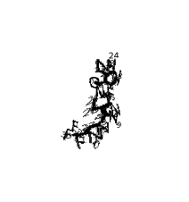 Cn1nc(-c2c3c(nn2C)CN(C(=O)c2c(F)cnc4c2cnn4C)CC3)cc1C(F)(F)F